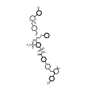 CC1(C)CCC(c2ccc(Cl)cc2)=C(CN2CCN(c3ccc(C(=O)NS(=O)(=O)c4ccc(N[C@H](CCN5CCN(CP6(=O)OCCC(c7cccc(Cl)c7)O6)CC5)CSc5ccccc5)c(S(=O)(=O)C(F)(F)F)c4)cc3)CC2)C1